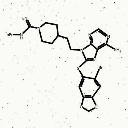 CCCNC(=N)N1CCC(CCn2c(Sc3cc4c(cc3Br)OCO4)nc3c(N)ncnc32)CC1